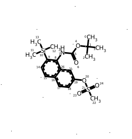 CC(C)(C)OC(=O)Nc1c([Si](C)(C)C)ccc2ccc(OS(C)(=O)=O)cc12